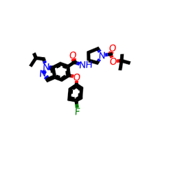 CC(C)Cn1ncc2cc(Oc3ccc(F)cc3)c(C(=O)NC3CCN(C(=O)OC(C)(C)C)C3)cc21